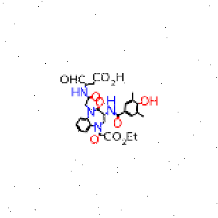 CCOC(=O)C(=O)N1C[C@H](NC(=O)c2cc(C)c(O)c(C)c2)C(=O)N(CC(=O)N[C@H](C=O)CC(=O)O)c2ccccc21